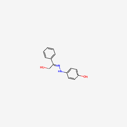 OCC(=NNc1ccc(O)cc1)c1ccccc1